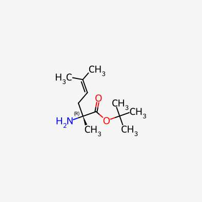 CC(C)=CC[C@@](C)(N)C(=O)OC(C)(C)C